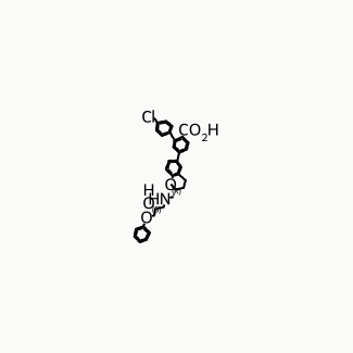 O=C(O)c1ccc(-c2ccc3c(c2)CC[C@H](CNC[C@H](O)COc2ccccc2)O3)cc1-c1ccc(Cl)cc1